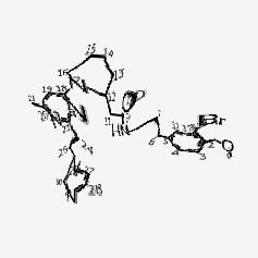 COc1ccc(CCNC(=O)CC2CCCCN2c2cc(C)nc(CCn3ccnc3)n2)cc1Br